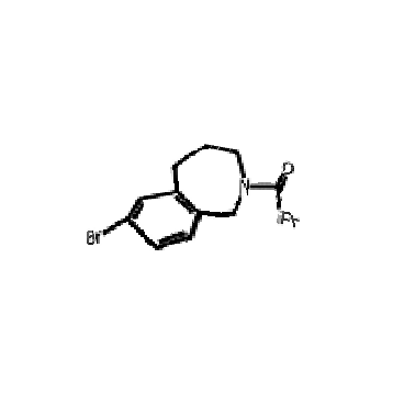 CC(C)C(=O)N1CCCc2cc(Br)ccc2C1